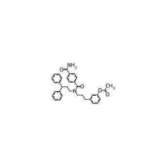 CC(=O)Oc1cccc(CCCN(CCC(c2ccccc2)c2ccccc2)C(=O)c2ccc(C(N)=O)cc2)c1